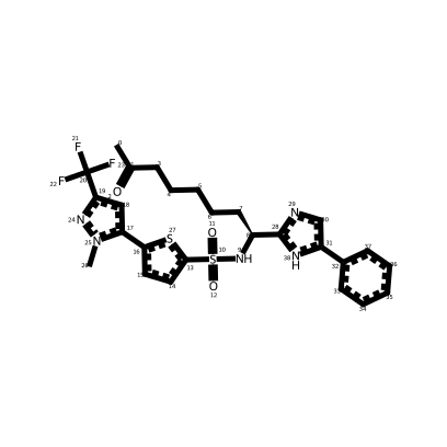 CC(=O)CCCCC[C@H](NS(=O)(=O)c1ccc(-c2cc(C(F)(F)F)nn2C)s1)c1ncc(-c2ccccc2)[nH]1